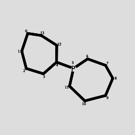 C1CCCC(P2CCCCCC2)CC1